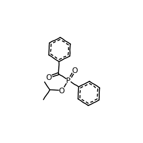 CC(C)OP(=O)(C(=O)c1ccccc1)c1ccccc1